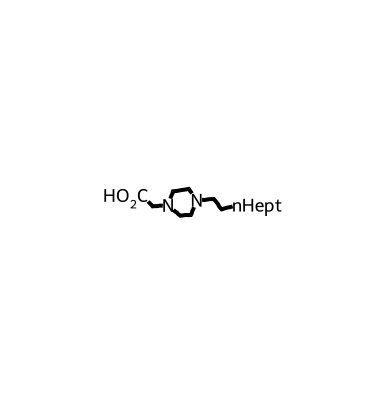 CCCCCCCCCN1CCN(CC(=O)O)CC1